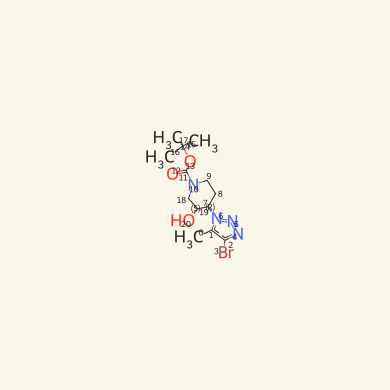 Cc1c(Br)nnn1[C@@H]1CCN(C(=O)OC(C)(C)C)C[C@@H]1O